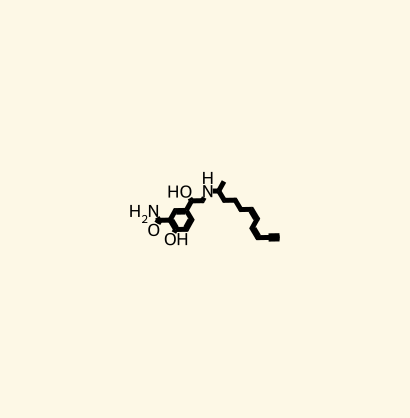 C#C/C=C\C=C/CCCC(C)NCC(O)c1ccc(O)c(C(N)=O)c1